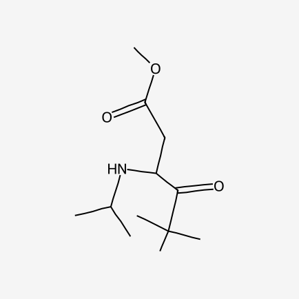 COC(=O)CC(NC(C)C)C(=O)C(C)(C)C